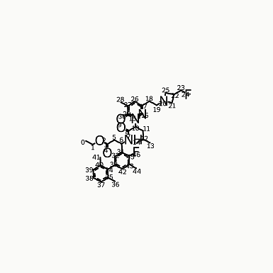 CCOC(=O)CC(NC(=O)C(CC(C)C)n1nc(CCN2CC(CF)C2)cc(C)c1=O)c1cc(-c2c(C)cccc2C)cc(C)c1F